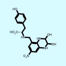 O=C(O)[C@H](Cc1ccc(O)cc1)NCc1cc([N+](=O)[O-])cc2c1NC(O)C(O)N2